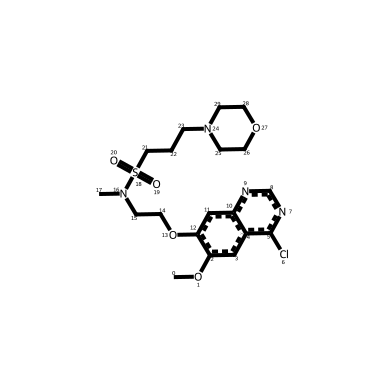 COc1cc2c(Cl)ncnc2cc1OCCN(C)S(=O)(=O)CCCN1CCOCC1